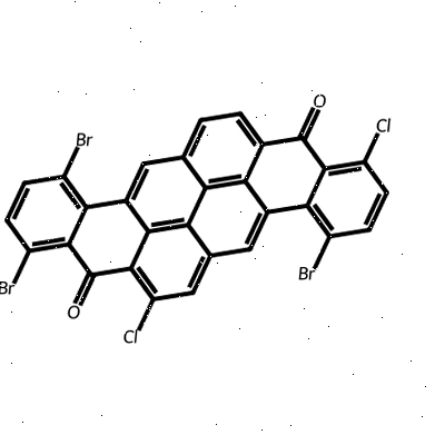 O=c1c2ccc3cc4c5c(Br)ccc(Br)c5c(=O)c5c(Cl)cc6cc(c7c(Br)ccc(Cl)c17)c2c3c6c54